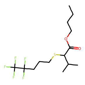 CCCCOC(=O)C(SCCCC(F)(F)C(F)(F)F)C(C)C